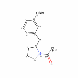 COc1cccc(CC2CCCN2C(=O)C(F)(F)F)c1